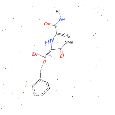 C=C(N/C(C(=O)NC)=C(\Br)OCc1ccccc1F)C(=O)NCC